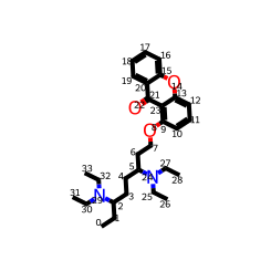 CCC(CCC(CCOc1cccc2oc3ccccc3c(=O)c12)N(CC)CC)N(CC)CC